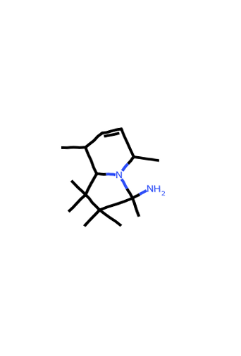 CC1C=CC(C)N2C1C(C)(C)C(C)(C)C2(C)N